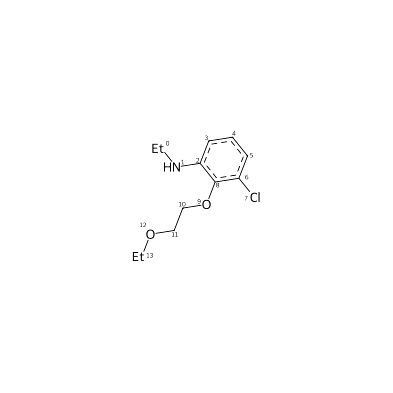 CCNc1cccc(Cl)c1OCCOCC